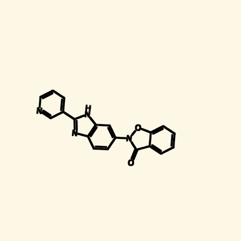 O=c1c2ccccc2on1-c1ccc2nc(-c3cccnc3)[nH]c2c1